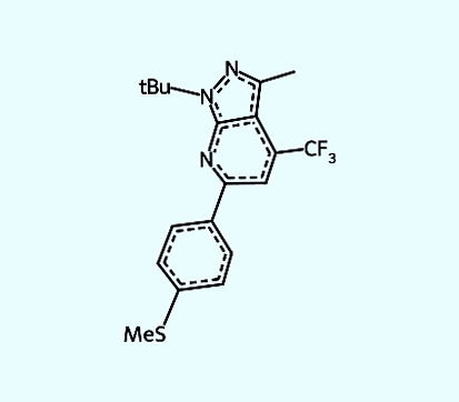 CSc1ccc(-c2cc(C(F)(F)F)c3c(C)nn(C(C)(C)C)c3n2)cc1